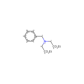 CCOC(=O)CN(CC(=O)OCC)Cc1ccccc1